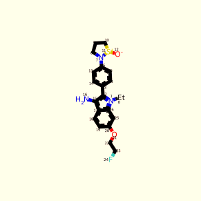 CCn1c(-c2ccc(N3CCC[S+]3[O-])cc2)c(N)c2ccc(OCCF)cc21